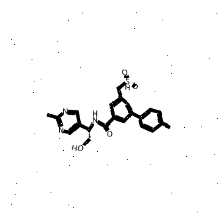 Cc1ccc(-c2cc(C[SH](=O)=O)cc(C(=O)N[C@H](CO)c3cnc(C)nc3)c2)cc1